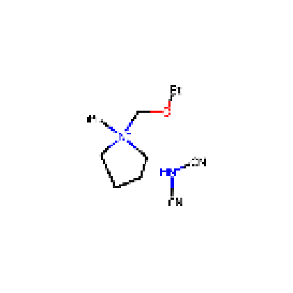 CCOC[N+]1(C(C)C)CCCC1.N#CNC#N